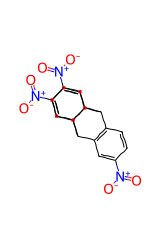 O=[N+]([O-])C1=CC2C(C=C1)C1c3cc([N+](=O)[O-])ccc3C2C2C=CC([N+](=O)[O-])=CC21